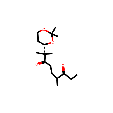 CCC(=O)C(C)CCC(=O)C(C)(C)[C@@H]1CCOC(C)(C)O1